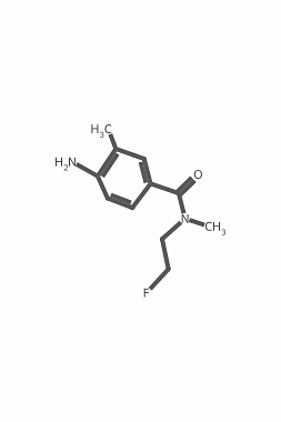 Cc1cc(C(=O)N(C)CCF)ccc1N